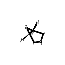 C1OC[C@H]2O[C@H]12